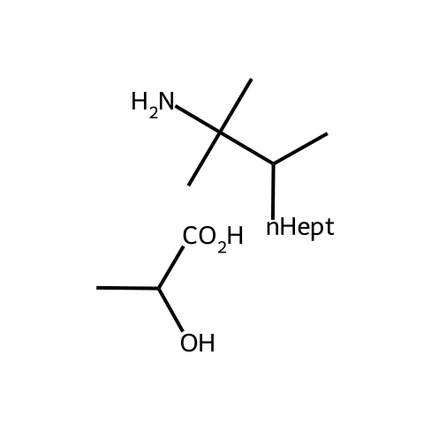 CC(O)C(=O)O.CCCCCCCC(C)C(C)(C)N